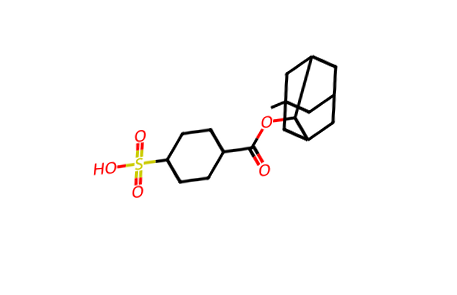 CC12CC3CC(C1)C(OC(=O)C1CCC(S(=O)(=O)O)CC1)C(C3)C2